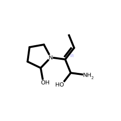 C/C=C(/C(N)O)N1CCCC1O